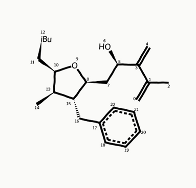 C=C(C)C(=C)[C@H](O)C[C@@H]1O[C@H](C[C@H](C)CC)[C@H](C)[C@H]1Cc1ccccc1